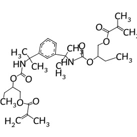 C=C(C)C(=O)OCC(CC)OC(=O)NC(C)(C)c1cccc(C(C)(C)NC(=O)OC(CC)COC(=O)C(=C)C)c1